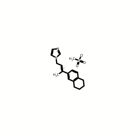 C/C(=C\Cn1ccnc1)c1ccc2c(c1)CCCC2.CS(=O)(=O)Cl